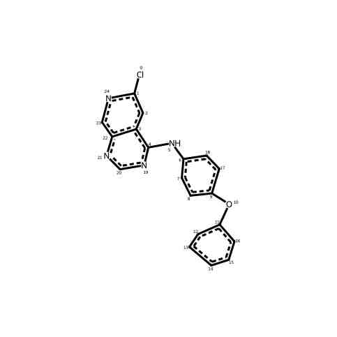 Clc1cc2c(Nc3ccc(Oc4ccccc4)cc3)ncnc2cn1